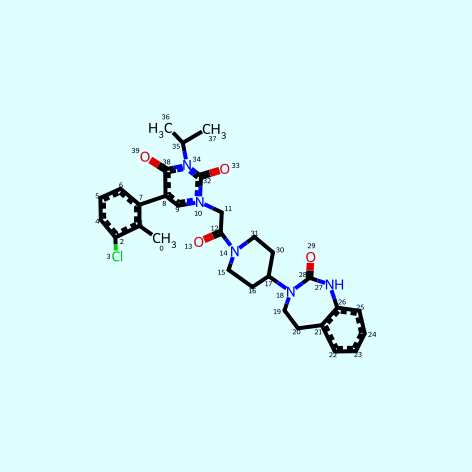 Cc1c(Cl)cccc1-c1cn(CC(=O)N2CCC(N3CCc4ccccc4NC3=O)CC2)c(=O)n(C(C)C)c1=O